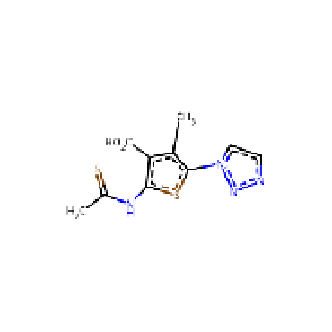 CC(=S)Nc1sc(-n2ccnn2)c(C)c1C(=O)O